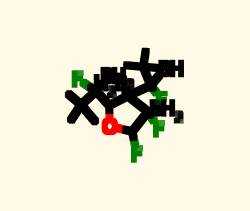 BC(F)(C1OC(F)C(B)(F)C1(B)C1(F)BC1(C)C)C(C)(C)C